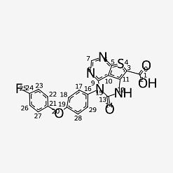 O=C(O)c1sc2ncnc3c2c1NC(=O)N3c1ccc(Oc2ccc(F)cc2)cc1